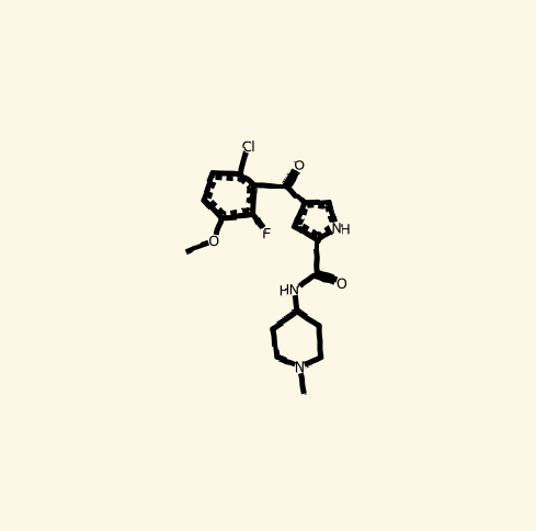 COc1ccc(Cl)c(C(=O)c2c[nH]c(C(=O)NC3CCN(C)CC3)c2)c1F